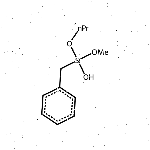 CCCO[Si](O)(Cc1ccccc1)OC